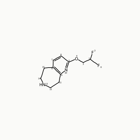 FC(F)COc1ccc2c(n1)CCNCC2